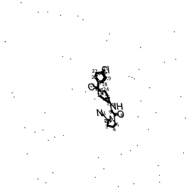 N#C[C@@H]1CCCN1C(=O)CNC1C2CN(C(=O)c3ccc(Cl)cc3)CC21